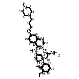 CN1CCN(CCCOc2ccc3c(NC4=C[N+](CC(N)=O)(c5cccc(F)c5F)N=N4)ncnc3c2)CC1